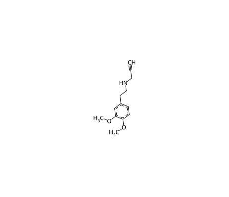 C#CCNCCc1ccc(OC)c(OC)c1